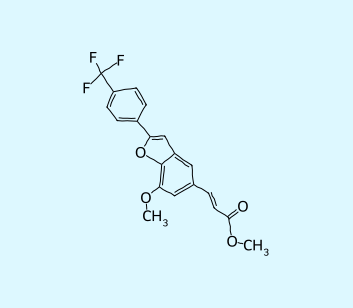 COC(=O)/C=C/c1cc(OC)c2oc(-c3ccc(C(F)(F)F)cc3)cc2c1